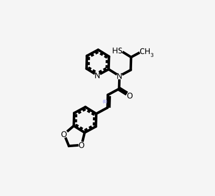 CC(S)CN(C(=O)/C=C/c1ccc2c(c1)OCO2)c1ccccn1